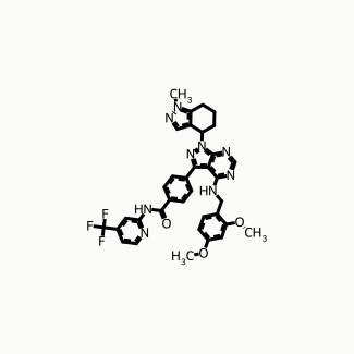 COc1ccc(CNc2ncnc3c2c(-c2ccc(C(=O)Nc4cc(C(F)(F)F)ccn4)cc2)nn3C2CCCc3c2cnn3C)c(OC)c1